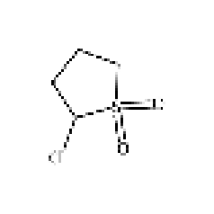 O=S1(=O)CCCC1Cl